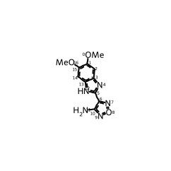 COc1cc2nc(-c3nonc3N)[nH]c2cc1OC